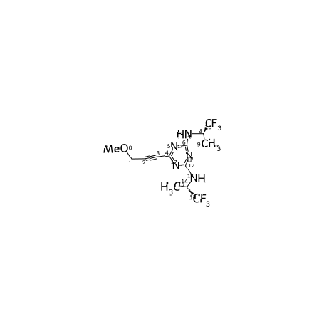 COCC#Cc1nc(N[C@H](C)C(F)(F)F)nc(N[C@H](C)C(F)(F)F)n1